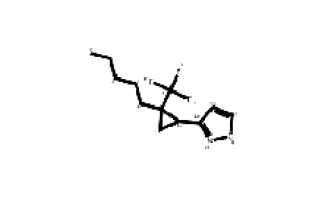 CCCCCC1(C(F)(F)F)CC1c1ccon1